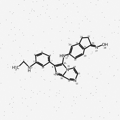 CCNc1cccc(-c2nc3cnccn3c2Nc2ccc3c(c2)CC/C3=N\O)c1